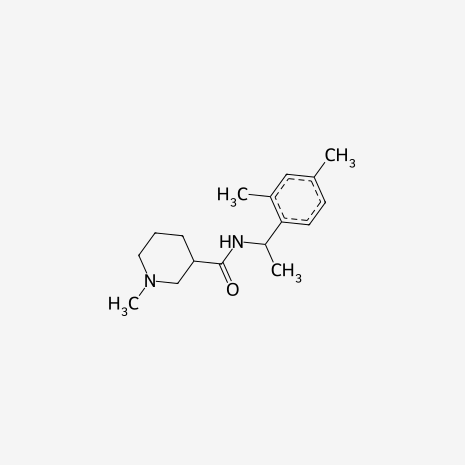 Cc1ccc(C(C)NC(=O)C2CCCN(C)C2)c(C)c1